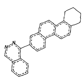 c1ccc2c(-c3ccc4c(ccc5c6c(ccc54)CCCC6)c3)nncc2c1